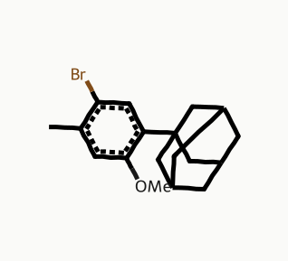 COc1cc(C)c(Br)cc1C12CC3CC(CC(C3)C1)C2